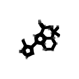 Cc1[nH]ncc1-c1sc2c3c1OCCN3C(C)(C)NC2=O